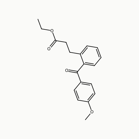 CCOC(=O)CCc1ccccc1C(=O)c1ccc(OC)cc1